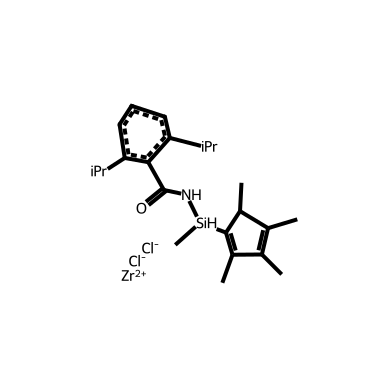 CC1=C(C)C(C)C([SiH](C)NC(=O)c2c(C(C)C)cccc2C(C)C)=C1C.[Cl-].[Cl-].[Zr+2]